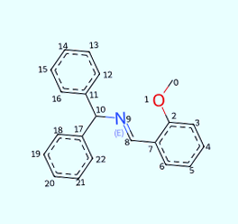 COc1ccccc1/C=N/C(c1ccccc1)c1ccccc1